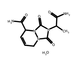 CC(C(N)=O)n1c(=O)n2n(c1=O)C(C(N)=O)C=CC2.O